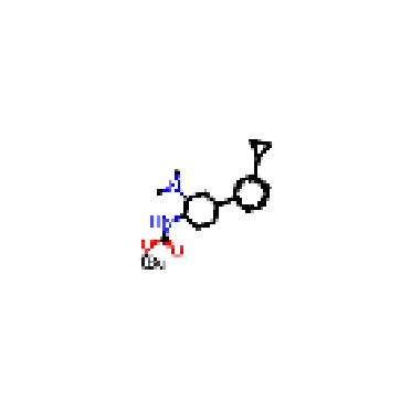 CN(C)[C@H]1CC(c2cccc(C3CC3)c2)CCC1NC(=O)OC(C)(C)C